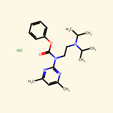 Cc1cc(C)nc(N(CCN(C(C)C)C(C)C)C(=O)Oc2ccccc2)n1.Cl